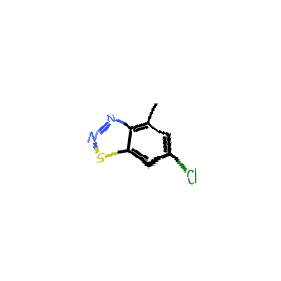 Cc1cc(Cl)cc2snnc12